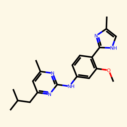 COc1cc(Nc2nc(C)cc(CC(C)C)n2)ccc1-c1nc(C)c[nH]1